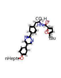 CCCCCCCOc1ccc(-c2cnc(-c3ccc(C[C@H](NC(=O)c4ccc(C(C)(C)C)o4)C(=O)O)cc3)nc2)cc1